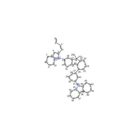 C=C/C=C\c1cc2ccccc2n1-c1ccc2c(c1)C(C)(C)c1cccc(-c3cccc(-n4c5ccccc5c5ccccc54)c3)c1-2